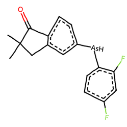 CC1(C)Cc2cc([AsH]c3ccc(F)cc3F)ccc2C1=O